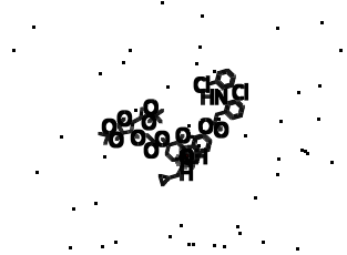 CC1(C)OCC(C2OC3OC(C)(C)OC3C2OCC(=O)OC2CC[C@@]3(O)[C@H]4Cc5ccc(OC(=O)Cc6ccccc6Nc6c(Cl)cccc6Cl)c6c5[C@@]3(CCN4CC3CC3)C2O6)O1